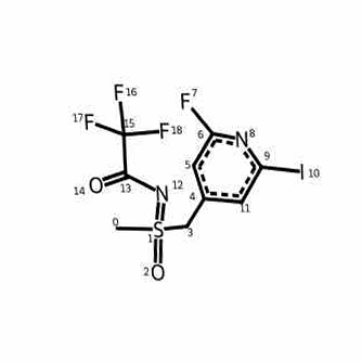 CS(=O)(Cc1cc(F)nc(I)c1)=NC(=O)C(F)(F)F